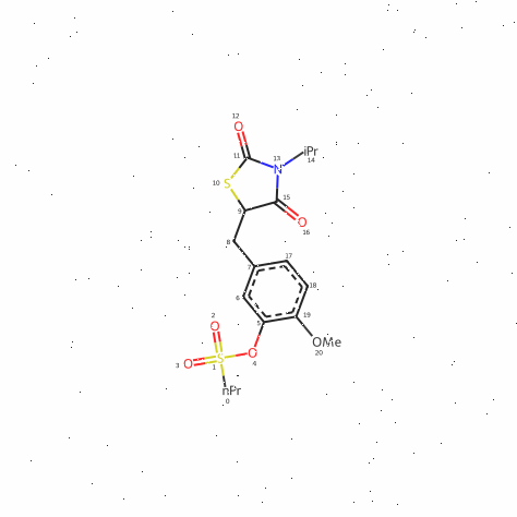 CCCS(=O)(=O)Oc1cc(CC2SC(=O)N(C(C)C)C2=O)ccc1OC